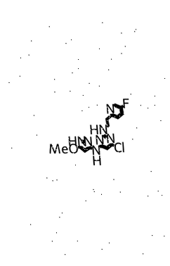 COc1cc(Nc2cc(Cl)nc(NCCc3ccc(F)cn3)n2)n[nH]1